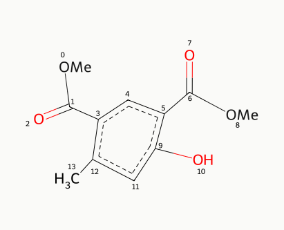 COC(=O)c1cc(C(=O)OC)c(O)cc1C